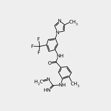 C=NC(=N)Nc1cc(C(=O)Nc2cc(-n3cnc(C)c3)cc(C(F)(F)F)c2)ccc1C